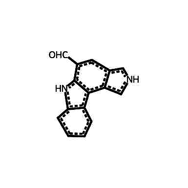 O=Cc1cc2c[nH]cc2c2c1[nH]c1ccccc12